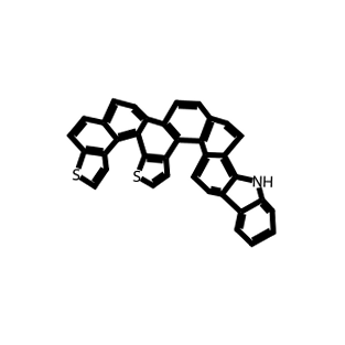 c1ccc2c(c1)[nH]c1c2ccc2c1ccc1ccc3c4ccc5ccc6sccc6c5c4c4sccc4c3c12